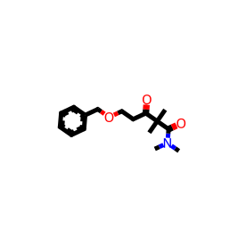 CN(C)C(=O)C(C)(C)C(=O)CCOCc1ccccc1